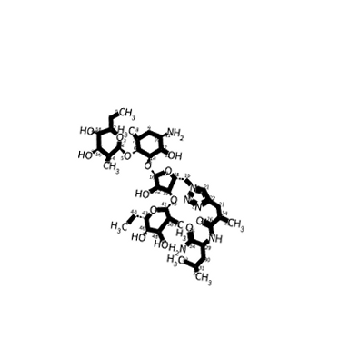 CCC1O[C@@H](O[C@@H]2C(C)C[C@@H](N)C(O)[C@H]2O[C@@H]2O[C@H](Cn3cc(CC(C)C(=O)NC(CC(C)C)C(N)=O)nn3)[C@@H](O[C@H]3O[C@@H](CC)[C@@H](O)C(O)C3C)C2O)C(C)[C@@H](O)[C@@H]1O